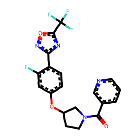 O=C(c1cccnc1)N1CCC(Oc2ccc(-c3noc(C(F)(F)F)n3)c(F)c2)C1